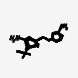 CC(C)(C)n1nc(CCc2cccc(N)c2)cc1N